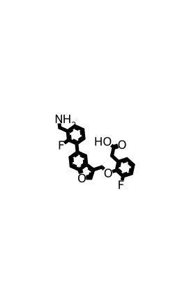 NCc1cccc(-c2ccc3occ(COc4c(F)cccc4CC(=O)O)c3c2)c1F